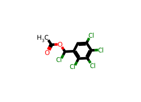 CC(=O)OC(Cl)c1cc(Cl)c(Cl)c(Cl)c1Cl